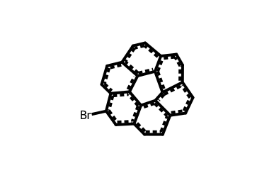 Brc1cc2ccc3ccc4ccc5ccc6ccc1c1c6c5c4c3c21